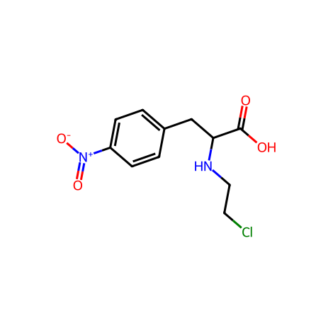 O=C(O)C(Cc1ccc([N+](=O)[O-])cc1)NCCCl